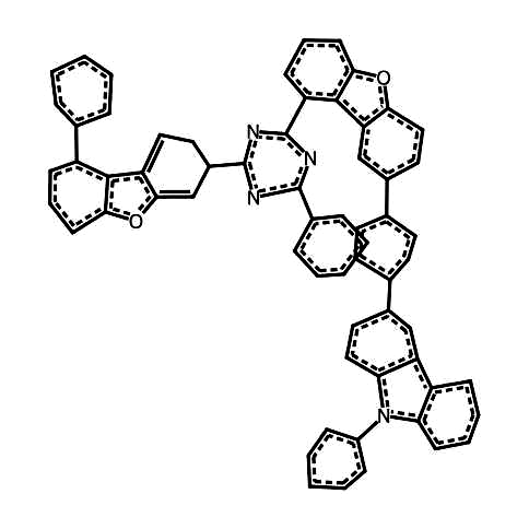 C1=c2oc3cccc(-c4ccccc4)c3c2=CCC1c1nc(-c2ccccc2)nc(-c2cccc3oc4ccc(-c5ccc(-c6ccc7c(c6)c6ccccc6n7-c6ccccc6)cc5)cc4c23)n1